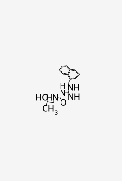 C[C@@H](O)CNC(=O)NC(=N)NCc1cccc2ccccc12